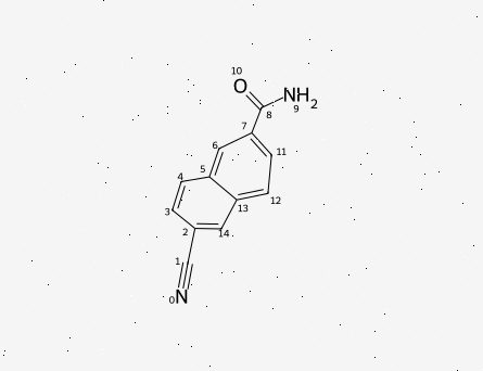 N#Cc1ccc2cc(C(N)=O)ccc2c1